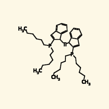 CCCCCCP(CCCCCC)C1=Cc2ccccc2[CH]1[Ti][CH]1C(P(CCCCCC)CCCCCC)=Cc2ccccc21